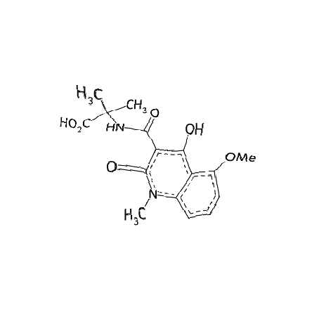 COc1cccc2c1c(O)c(C(=O)NC(C)(C)C(=O)O)c(=O)n2C